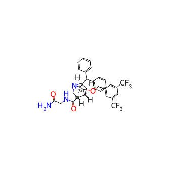 NC(=O)CNC(=O)[C@@H]1CN2CC[C@H]1[C@H](OCc1cc(C(F)(F)F)cc(C(F)(F)F)c1)[C@@H]2C(c1ccccc1)c1ccccc1